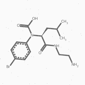 CC(C)C[C@@H](C(=O)NCCN)N(C(=O)O)c1ccc(Br)cc1